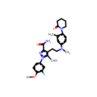 CCOc1ccc(-n2nc(C(N)=O)c(CCN(C)c3ccc(N4CCCCC4=O)c(C)c3)c2C=O)cc1F